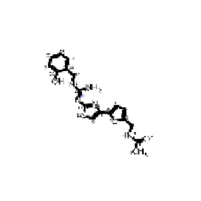 CC(=O)NCc1ccc(-c2csc(/N=C(\N)NCc3ccccc3O)n2)o1